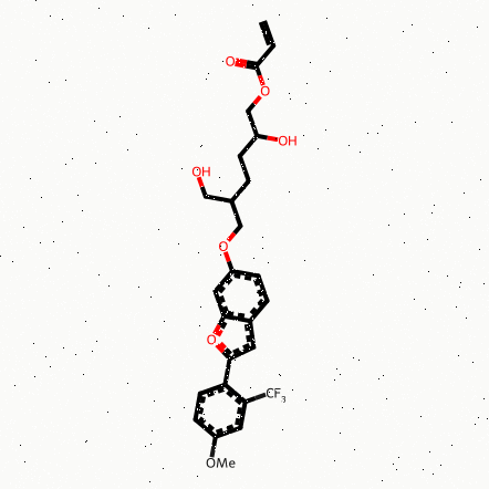 C=CC(=O)OCC(O)CCC(CO)COc1ccc2cc(-c3ccc(OC)cc3C(F)(F)F)oc2c1